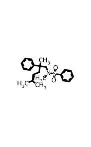 CC(C)=CCC(C)(CN(C)S(=O)(=O)c1ccccc1)c1ccccc1